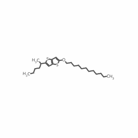 C[CH]CCC(C)c1cc2sc(OCCCCCCCCCCCC)cc2s1